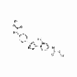 CC(C)OC(=O)Nc1ccc(-c2cnc([C@H]3CC[C@H](NC(=O)OC(C)C)CC3)s2)c(C#N)c1